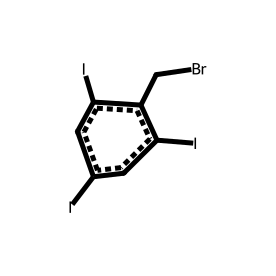 BrCc1c(I)cc(I)cc1I